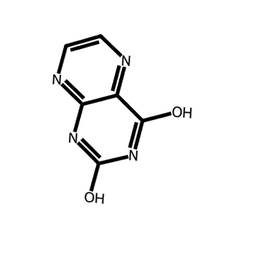 Oc1nc(O)c2nccnc2n1